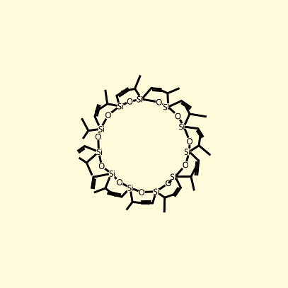 C=C[Si]1(C(C)C)O[Si](C=C)(C(C)C)O[Si](C=C)(C(C)C)O[Si](C=C)(C(C)C)O[Si](C=C)(C(C)C)O[Si](C=C)(C(C)C)O[Si](C=C)(C(C)C)O[Si](C=C)(C(C)C)O[Si](C=C)(C(C)C)O[Si](C=C)(C(C)C)O[Si](C=C)(C(C)C)O1